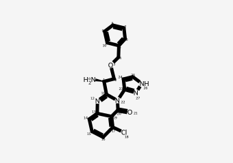 N[C@@H](COCc1ccccc1)c1nc2cccc(Cl)c2c(=O)n1-c1cc[nH]n1